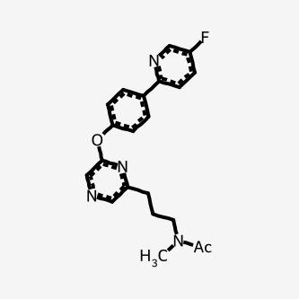 CC(=O)N(C)CCCc1cncc(Oc2ccc(-c3ccc(F)cn3)cc2)n1